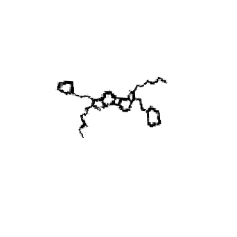 CCCCCCc1sc2c3c(ccc2c1CCc1ccccc1)-c1c-3ccc2c(CCc3ccccc3)c(CCCCCC)sc12